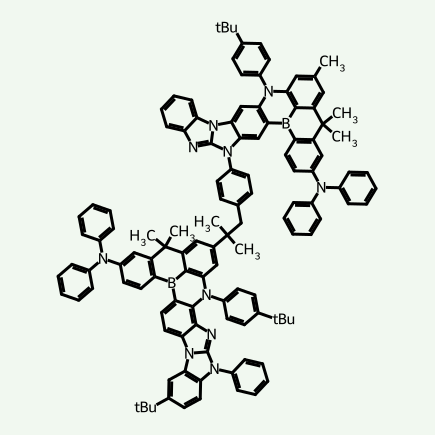 Cc1cc2c3c(c1)C(C)(C)c1cc(N(c4ccccc4)c4ccccc4)ccc1B3c1cc3c(cc1N2c1ccc(C(C)(C)C)cc1)n1c2ccccc2nc1n3-c1ccc(CC(C)(C)c2cc3c4c(c2)C(C)(C)c2cc(N(c5ccccc5)c5ccccc5)ccc2B4c2ccc4c(nc5n(-c6ccccc6)c6ccc(C(C)(C)C)cc6n45)c2N3c2ccc(C(C)(C)C)cc2)cc1